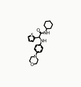 O=C(NC1CCCCC1)C(Nc1ccc(N2CCOCC2)cc1)c1cccs1